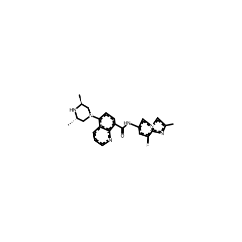 Cc1cn2cc(NC(=O)c3ccc(N4C[C@H](C)N[C@@H](C)C4)c4cccnc34)cc(F)c2n1